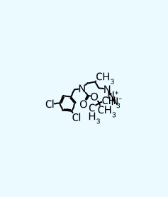 C[C@H](CN=[N+]=[N-])CN(Cc1cc(Cl)cc(Cl)c1)C(=O)OC(C)(C)C